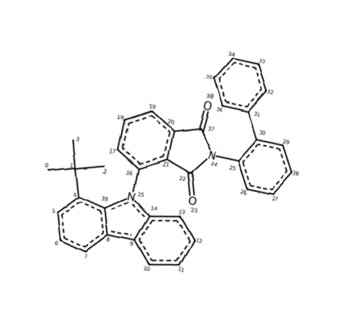 CC(C)(C)c1cccc2c3ccccc3n(-c3cccc4c3C(=O)N(c3ccccc3-c3ccccc3)C4=O)c12